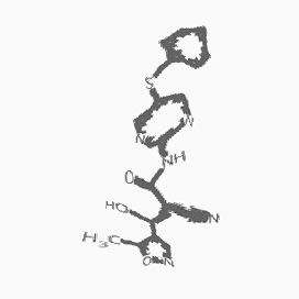 Cc1oncc1/C(O)=C(\C#N)C(=O)Nc1ncc(Sc2ccccc2)cn1